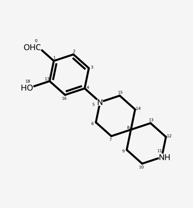 O=Cc1ccc(N2CCC3(CCNCC3)CC2)cc1O